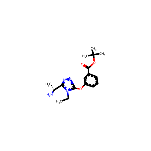 CCn1c(Oc2cccc(C(=O)OC(C)(C)C)c2)nnc1[C@@H](C)N